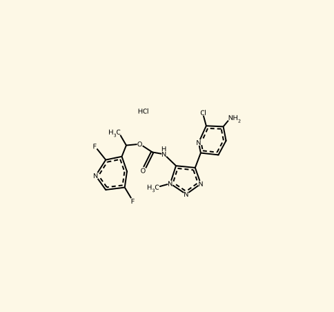 CC(OC(=O)Nc1c(-c2ccc(N)c(Cl)n2)nnn1C)c1cc(F)cnc1F.Cl